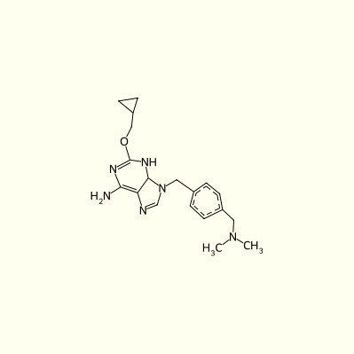 CN(C)Cc1ccc(CN2C=NC3=C(N)N=C(OCC4CC4)NC32)cc1